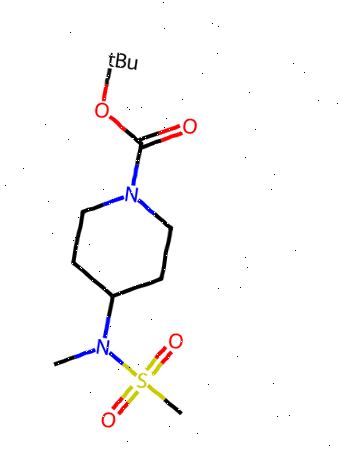 CN(C1CCN(C(=O)OC(C)(C)C)CC1)S(C)(=O)=O